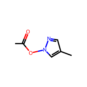 CC(=O)On1cc(C)cn1